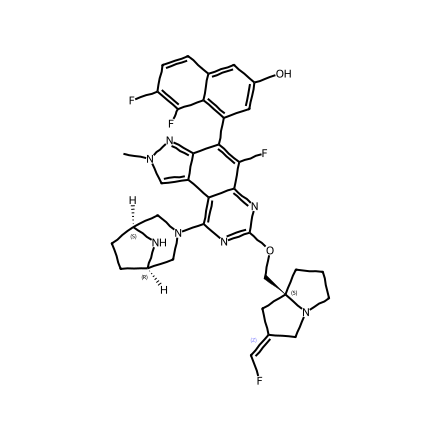 Cn1cc2c(n1)c(-c1cc(O)cc3ccc(F)c(F)c13)c(F)c1nc(OC[C@@]34CCCN3C/C(=C\F)C4)nc(N3C[C@H]4CC[C@@H](C3)N4)c12